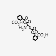 N[C@@H](CCC(=O)OC(=O)c1ccccc1C(=O)O)C(=O)OC(=O)c1ccccc1C(=O)O